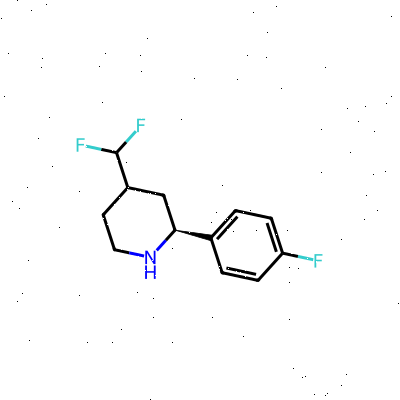 Fc1ccc([C@@H]2CC(C(F)F)CCN2)cc1